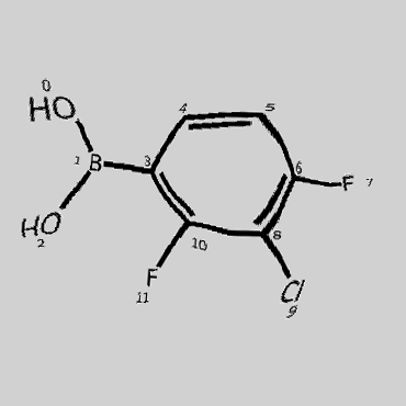 OB(O)c1ccc(F)c(Cl)c1F